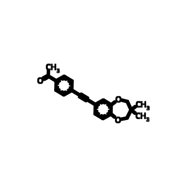 CC(=O)c1ccc(C#Cc2ccc3c(c2)OCC(C)(C)CO3)cc1